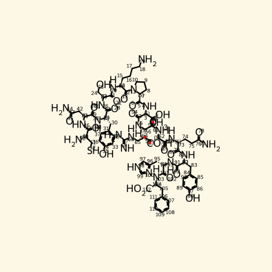 C[C@@H](O)[C@H](NC(=O)[C@@H]1CCCN1C(=O)[C@H](CCCCN)NC(=O)[C@H](CO)NC(=O)[C@H](Cc1ccc(O)cc1)NC(=O)[C@H](CC(N)=O)NC(=O)[C@@H](N)CS)C(=O)N[C@@H](CC(=O)O)C(=O)N[C@@H](CCCNC(=N)N)C(=O)N[C@@H](CCC(N)=O)C(=O)N[C@@H](Cc1ccc(O)cc1)C(=O)N[C@@H](Cc1c[nH]cn1)C(=O)N[C@@H](Cc1ccccc1)C(=O)O